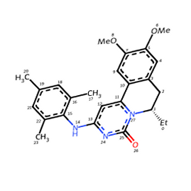 CC[C@H]1Cc2cc(OC)c(OC)cc2-c2cc(Nc3c(C)cc(C)cc3C)nc(=O)n21